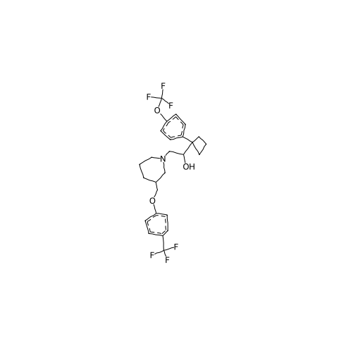 OC(CN1CCCC(COc2ccc(C(F)(F)F)cc2)C1)C1(c2ccc(OC(F)(F)F)cc2)CCC1